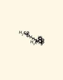 C=CC(=O)OCCCCCCCN(C)C1=CC(=S)S(=O)(=O)c2ccccc21